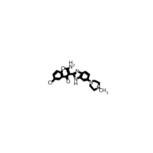 CN1CCN(c2ccc3nc(-c4c(N)oc5ccc(Cl)cc5c4=O)[nH]c3c2)CC1